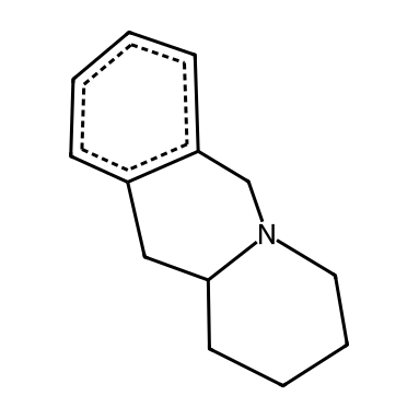 c1ccc2c(c1)CC1CCCCN1C2